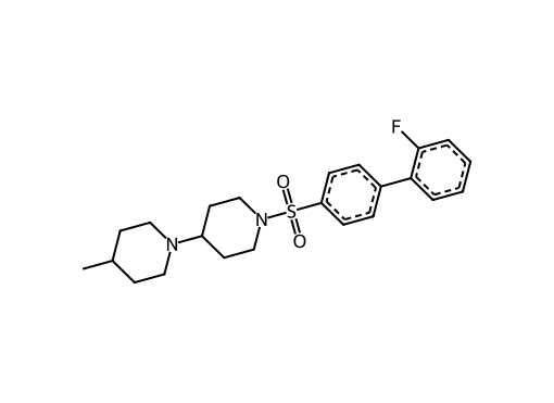 CC1CCN(C2CCN(S(=O)(=O)c3ccc(-c4ccccc4F)cc3)CC2)CC1